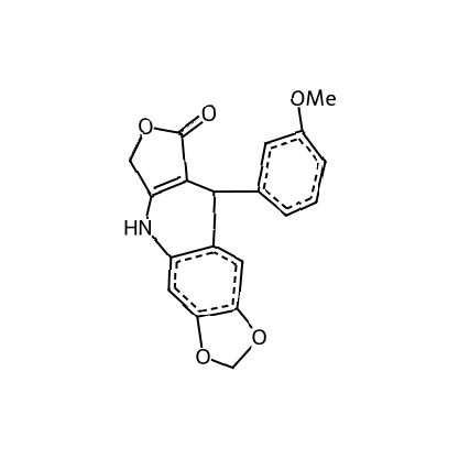 COc1cccc(C2C3=C(COC3=O)Nc3cc4c(cc32)OCO4)c1